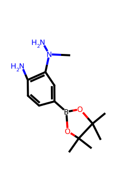 CN(N)c1cc(B2OC(C)(C)C(C)(C)O2)ccc1N